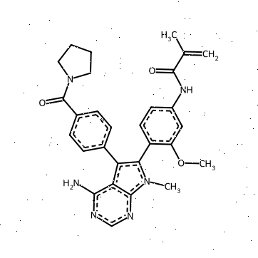 C=C(C)C(=O)Nc1ccc(-c2c(-c3ccc(C(=O)N4CCCC4)cc3)c3c(N)ncnc3n2C)c(OC)c1